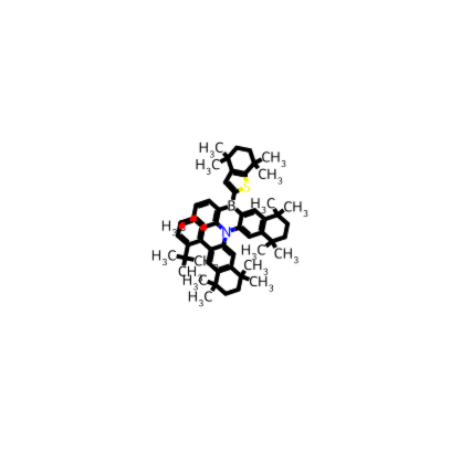 Cc1ccc2c(c1)N(c1cc3c(cc1-c1ccccc1C(C)(C)C)C(C)(C)CCC3(C)C)c1cc3c(cc1B2c1cc2c(s1)C(C)(C)CCC2(C)C)C(C)(C)CCC3(C)C